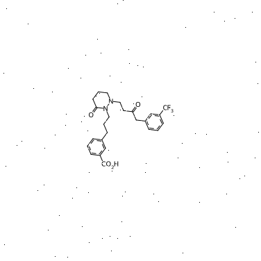 O=C(CCN1CCCC(=O)N1CCCc1cccc(C(=O)O)c1)Cc1cccc(C(F)(F)F)c1